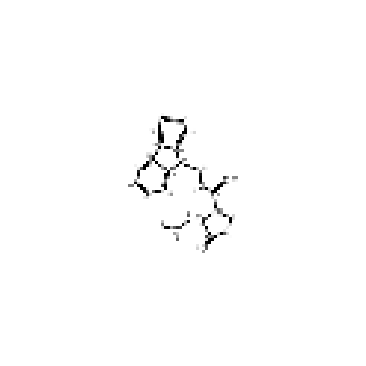 COC[C@H]1C(=O)OCN1C(=O)OCC1c2ccccc2-c2ccccc21